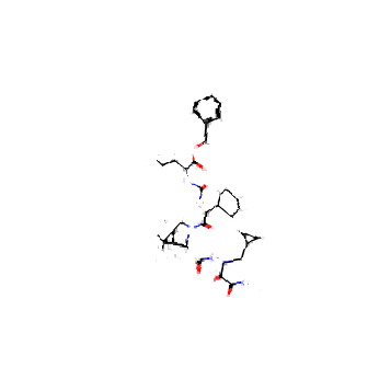 CC[C@H](C)[C@H](NC(=O)N[C@H](C(=O)N1C[C@H]2[C@@H]([C@H]1C(=O)NC(CC1CC1)C(=O)C(N)=O)C2(C)C)C1CCCCC1)C(=O)OCc1ccccc1